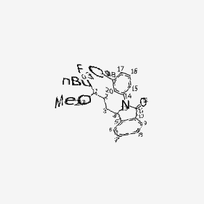 CCCCC(CCC1c2ccccc2C(=O)N1c1cccc(C(F)(F)F)c1)OC